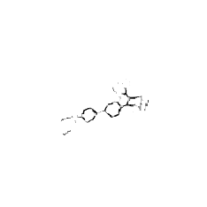 O=c1c2cn[nH]c2c2ccc(-c3ccc(N4CCOCC4)cc3)cc2n1CC(F)(F)F